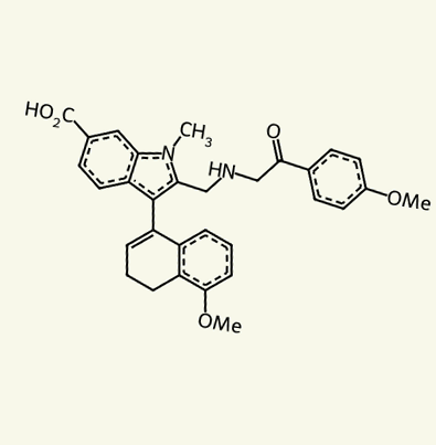 COc1ccc(C(=O)CNCc2c(C3=CCCc4c(OC)cccc43)c3ccc(C(=O)O)cc3n2C)cc1